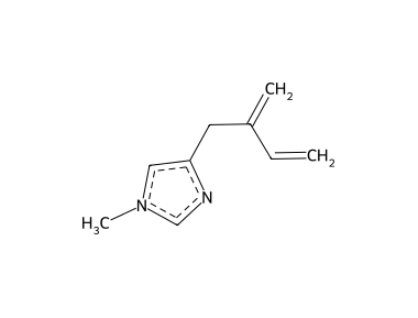 C=CC(=C)Cc1cn(C)cn1